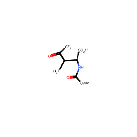 COC(=O)N[C@H](C(=O)O)C(C)C(=O)C(F)(F)F